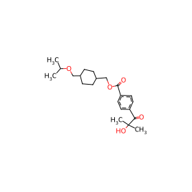 CC(C)OCC1CCC(COC(=O)c2ccc(C(=O)C(C)(C)O)cc2)CC1